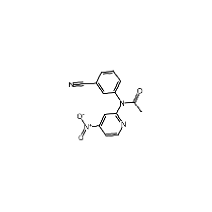 CC(=O)N(c1cccc(C#N)c1)c1cc([N+](=O)[O-])ccn1